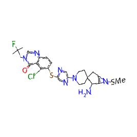 CSN1C2=C1C(N)C1(CCN(c3cnc(Sc4ccc5ncn(CC(C)(C)F)c(=O)c5c4Cl)cn3)CC1)C2